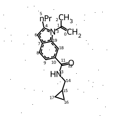 C=C(C)n1c(CCC)cc2ccc(C(=O)NCC3CC3)cc21